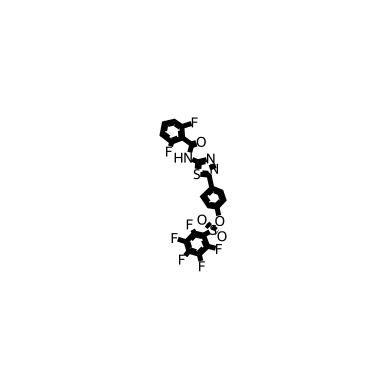 O=C(Nc1nnc(-c2ccc(OS(=O)(=O)c3c(F)c(F)c(F)c(F)c3F)cc2)s1)c1c(F)cccc1F